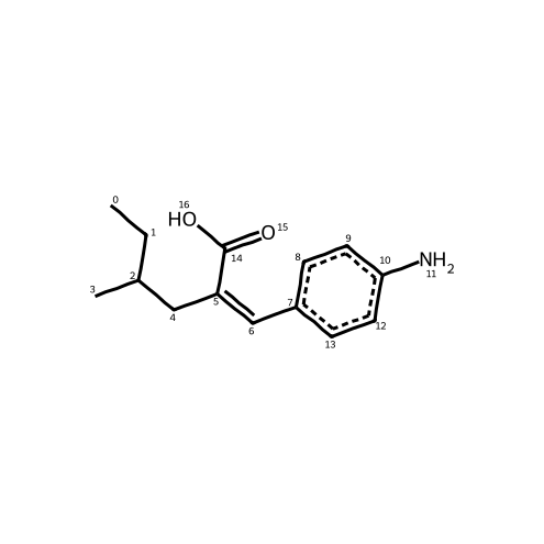 CCC(C)CC(=Cc1ccc(N)cc1)C(=O)O